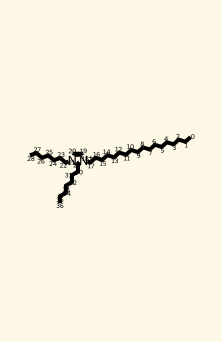 CCCCCCCCCCCCCCCCCC[n+]1ccn(CCCCCCC)c1CCCCCCC